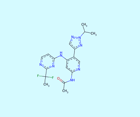 CC(=O)Nc1cc(Nc2ccnc(C(C)(F)F)n2)c(-c2cnn(C(C)C)n2)cn1